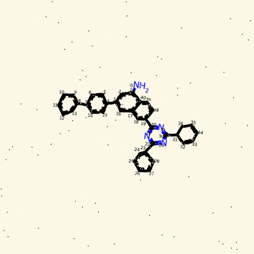 Nc1cc(-c2ccc(-c3ccccc3)cc2)cc2cc(-c3nc(-c4ccccc4)nc(C4C=CC=CC4)n3)ccc12